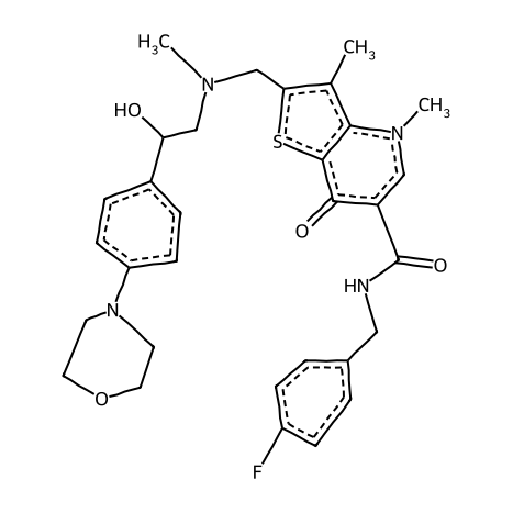 Cc1c(CN(C)CC(O)c2ccc(N3CCOCC3)cc2)sc2c(=O)c(C(=O)NCc3ccc(F)cc3)cn(C)c12